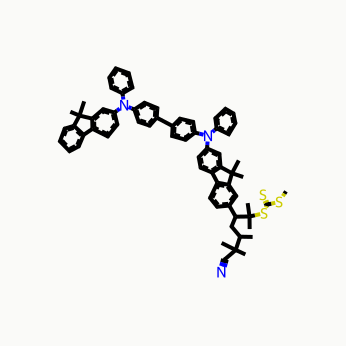 CSC(=S)SC(C)(C)C(CC(C)C(C)(C)C#N)c1ccc2c(c1)C(C)(C)c1cc(N(c3ccccc3)c3ccc(-c4ccc(N(c5ccccc5)c5ccc6c(c5)C(C)(C)c5ccccc5-6)cc4)cc3)ccc1-2